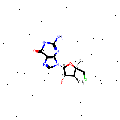 CC[C@@]1(CCl)O[C@@H](n2cnc3c(=O)[nH]c(N)nc32)[C@@H](O)[C@@H]1C